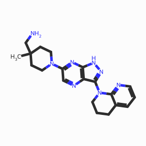 CC1(CN)CCN(c2cnc3c(N4CCCc5cccnc54)n[nH]c3n2)CC1